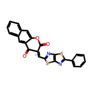 O=C1Oc2cc3ccccc3cc2C(=O)/C1=C/c1nc2sc(-c3ccccc3)nc2s1